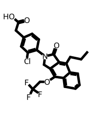 CCCc1c2c(c(OCC(F)(F)F)c3ccccc13)CN(c1ccc(CC(=O)O)cc1Cl)C2=O